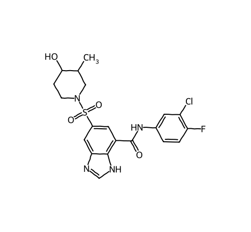 CC1CN(S(=O)(=O)c2cc(C(=O)Nc3ccc(F)c(Cl)c3)c3[nH]cnc3c2)CCC1O